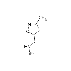 CC1=NOC(CNC(C)C)C1